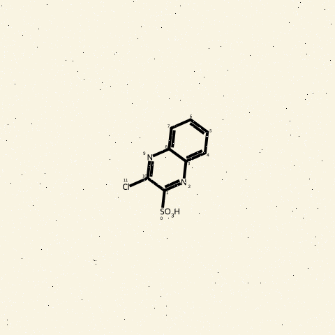 O=S(=O)(O)c1nc2ccccc2nc1Cl